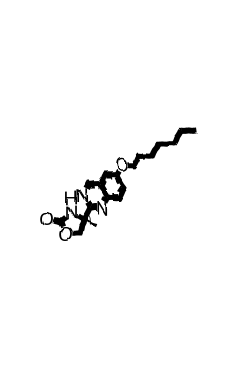 CCCCCCCOc1ccc2nc([C@]3(C)COC(=O)N3)ncc2c1